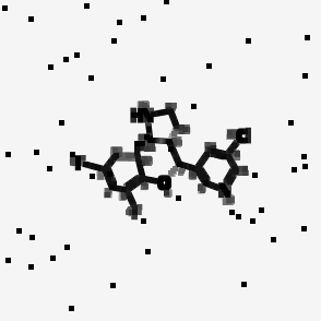 Fc1cc(F)c(O[C@@H](c2cncc(Cl)c2)[C@H]2CCNC2)c(F)c1